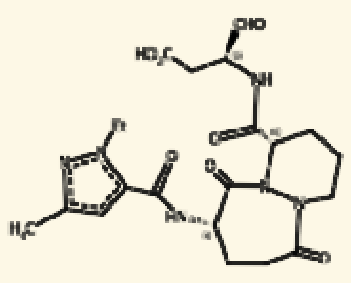 CCn1nc(C)cc1C(=O)N[C@H]1CCC(=O)N2CCC[C@@H](C(=O)N[C@H](C=O)CC(=O)O)N2C1=O